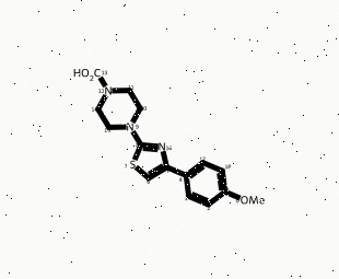 COc1ccc(-c2csc(N3CCN(C(=O)O)CC3)n2)cc1